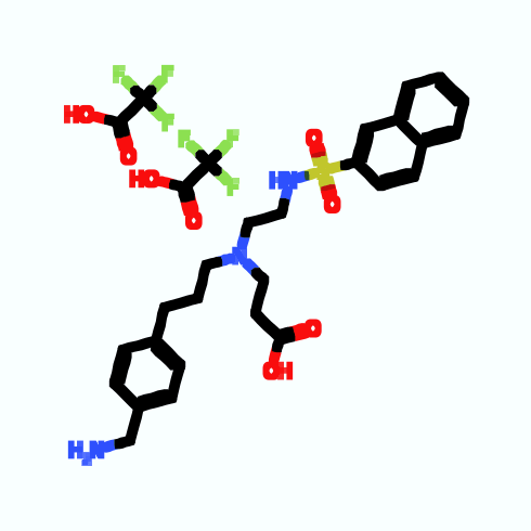 NCc1ccc(CCCN(CCNS(=O)(=O)c2ccc3ccccc3c2)CCC(=O)O)cc1.O=C(O)C(F)(F)F.O=C(O)C(F)(F)F